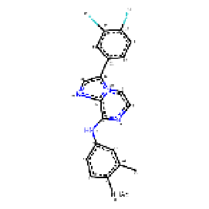 CC(=O)Nc1ccc(Nc2nccn3c(-c4ccc(F)c(F)c4)cnc23)cc1C